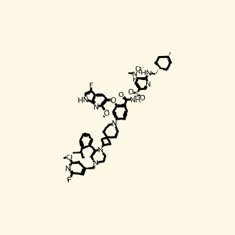 COc1cc(CN2CCN(C3CC4(CCN(c5ccc(C(=O)NS(=O)(=O)c6cnc(NC[C@H]7CC[C@@H](C)CC7)c([NH+](C)[O-])c6)c(Oc6cc7c(F)c[nH]c7nc6OC)c5)CC4)C3)C(c3ccccc3C(C)C)C2)cc(F)n1